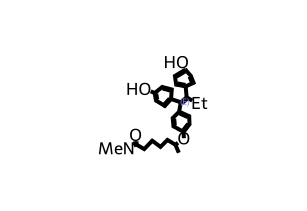 CC/C(=C(/c1ccc(O)cc1)c1ccc(OC(C)CCCCC(=O)NC)cc1)c1ccc(O)cc1